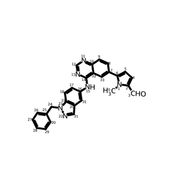 Cn1c(C=O)ccc1-c1ccc2ncnc(Nc3ccc4c(cnn4Cc4ccccc4)c3)c2c1